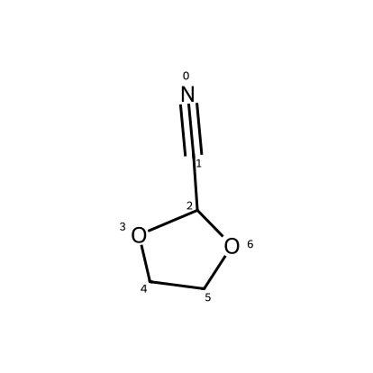 N#CC1OCCO1